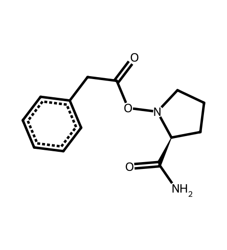 NC(=O)[C@@H]1CCCN1OC(=O)Cc1ccccc1